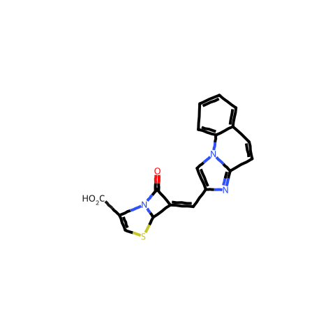 O=C(O)C1=CSC2C(=Cc3cn4c(ccc5ccccc54)n3)C(=O)N12